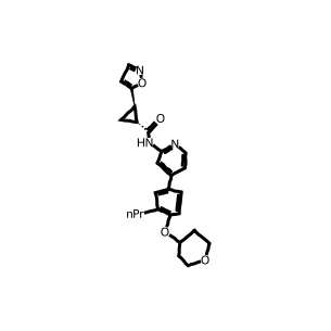 CCCc1cc(-c2ccnc(NC(=O)[C@@H]3C[C@H]3c3ccno3)c2)ccc1OC1CCOCC1